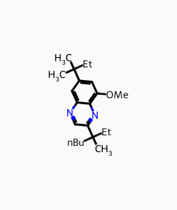 CCCCC(C)(CC)c1cnc2cc(C(C)(C)CC)cc(OC)c2n1